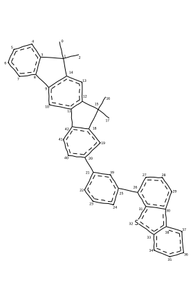 CC1(C)c2ccccc2-c2cc3c(cc21)C(C)(C)c1cc(-c2cccc(-c4cccc5c4sc4ccccc45)c2)ccc1-3